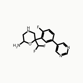 NC1CNCC(c2cc(-c3cncnc3)ccc2F)(C(F)F)O1